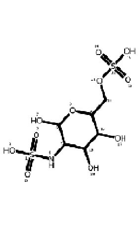 O=S(=O)(O)NC1C(O)OC(COS(=O)(=O)O)C(O)C1O